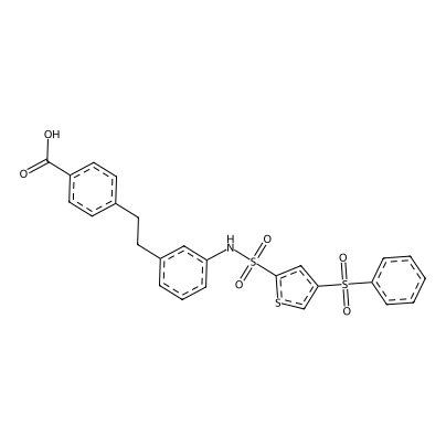 O=C(O)c1ccc(CCc2cccc(NS(=O)(=O)c3cc(S(=O)(=O)c4ccccc4)cs3)c2)cc1